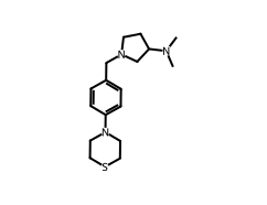 CN(C)C1CCN(Cc2ccc(N3CCSCC3)cc2)C1